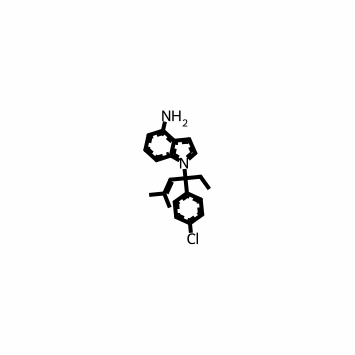 CCC(C=C(C)C)(c1ccc(Cl)cc1)n1ccc2c(N)cccc21